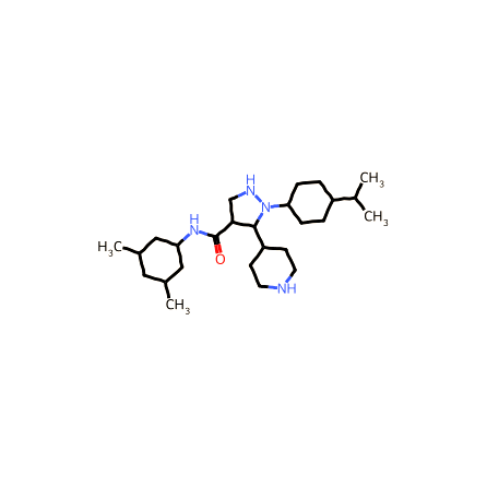 CC1CC(C)CC(NC(=O)C2CNN(C3CCC(C(C)C)CC3)C2C2CCNCC2)C1